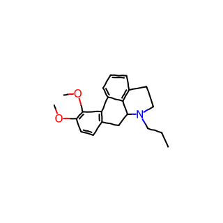 CCCN1CCc2cccc3c2C1Cc1ccc(OC)c(OC)c1-3